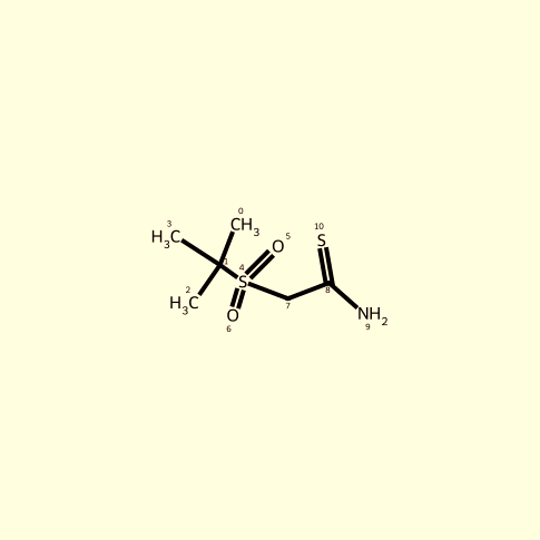 CC(C)(C)S(=O)(=O)CC(N)=S